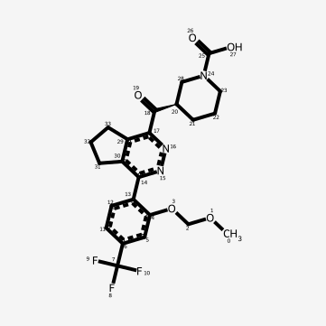 COCOc1cc(C(F)(F)F)ccc1-c1nnc(C(=O)[C@@H]2CCCN(C(=O)O)C2)c2c1CCC2